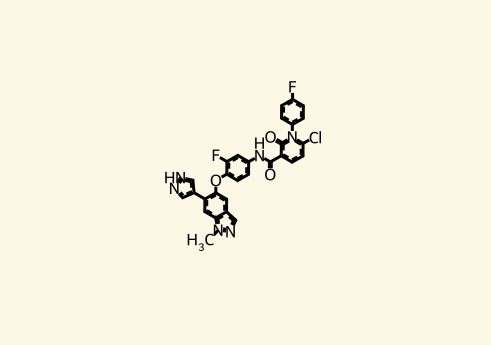 Cn1ncc2cc(Oc3ccc(NC(=O)c4ccc(Cl)n(-c5ccc(F)cc5)c4=O)cc3F)c(-c3cn[nH]c3)cc21